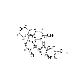 [CH]c1ccc([N+]2(c3ccc(Cl)c(-c4nc5ncc(C)cc5[nH]4)c3)CCOCC2)cc1